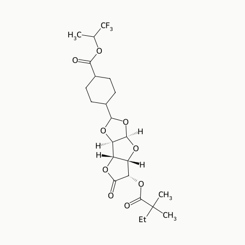 CCC(C)(C)C(=O)O[C@@H]1C(=O)O[C@@H]2[C@H]3OC(C4CCC(C(=O)OC(C)C(F)(F)F)CC4)O[C@H]3O[C@@H]21